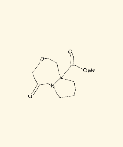 COC(=O)C12CCCN1C(=O)COC2